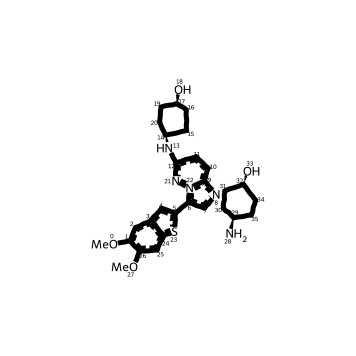 COc1cc2cc(-c3cnc4ccc(N[C@H]5CC[C@H](O)CC5)nn34)sc2cc1OC.N[C@H]1CC[C@H](O)CC1